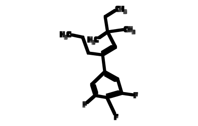 CCC/C(=C\C(C)(C)CC)c1cc(F)c(F)c(F)c1